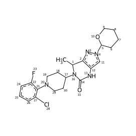 CC1c2nn(C3CCCCO3)cc2NC(=O)N1C1CCN(c2c(F)cccc2Cl)CC1